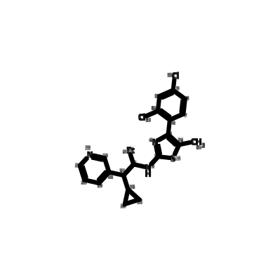 CCC(Nc1nc(-c2ccc(Cl)cc2Cl)c(C)s1)C(c1cccnc1)C1CC1